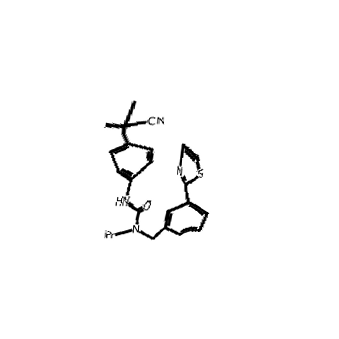 CC(C)N(Cc1cccc(-c2nccs2)c1)C(=O)Nc1ccc(C(C)(C)C#N)cc1